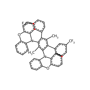 Cc1c(-c2cccc(C(F)(F)F)c2)c(N2c3ccccc3Oc3ccccc32)c(C)c(N2c3ccccc3Oc3ccccc32)c1-c1cccc(C(F)(F)F)c1